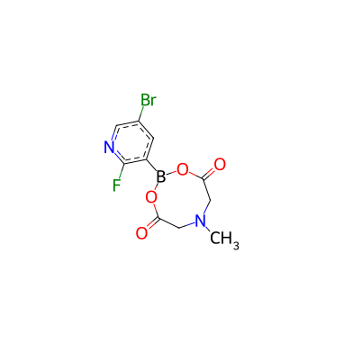 CN1CC(=O)OB(c2cc(Br)cnc2F)OC(=O)C1